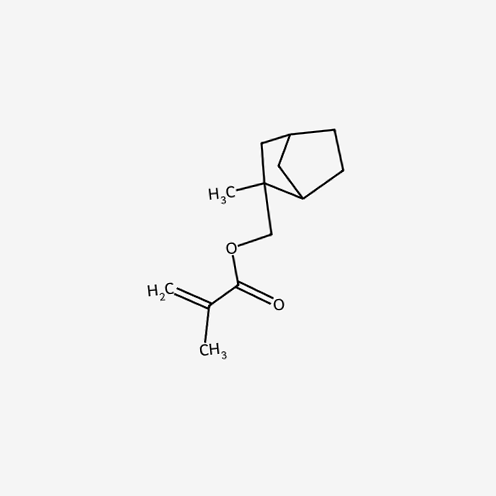 C=C(C)C(=O)OCC1(C)CC2CCC1C2